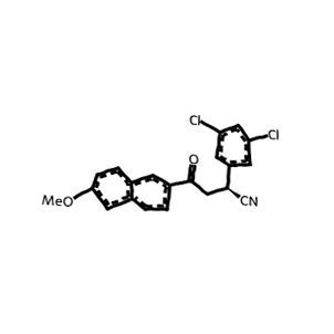 COc1ccc2cc(C(=O)C[C@H](C#N)c3cc(Cl)cc(Cl)c3)ccc2c1